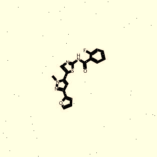 Cn1nc(-c2ccco2)cc1-c1cnc(NC(=O)c2ccccc2F)s1